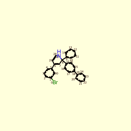 Brc1cccc(C2=CC(c3ccccc3)(c3ccc(-c4ccccc4)cc3)NC=C2)c1